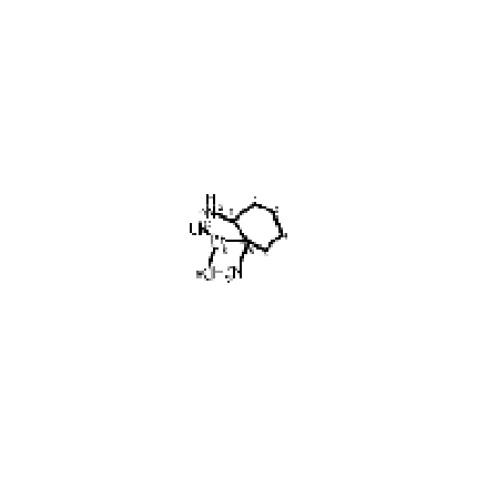 NC1CCCC[C]1(N)[Pt]([Cl])[Cl]